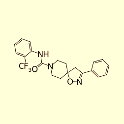 O=C(Nc1ccccc1C(F)(F)F)N1CCC2(CC1)CC(c1ccccc1)=NO2